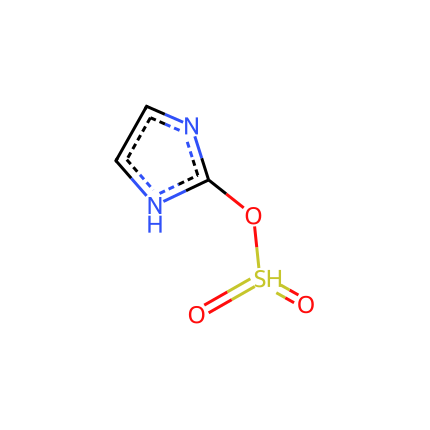 O=[SH](=O)Oc1ncc[nH]1